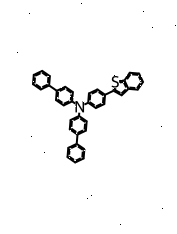 c1ccc(-c2ccc(N(c3ccc(-c4ccccc4)cc3)c3ccc(-c4cc5ccccc5s4)cc3)cc2)cc1